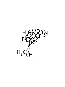 CCN(CC)CC=Cc1cc(F)ccc1S(=O)(=O)[AsH]c1ccc2c(c1C(=O)OC)OCc1cnsc1-2